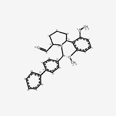 COc1cccc(OC)c1C1CCCC(C=O)N1Cc1ccc(-c2ccccc2)cc1